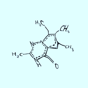 Cc1nn2c(C)c(C)c(C)c2c(=O)[nH]1